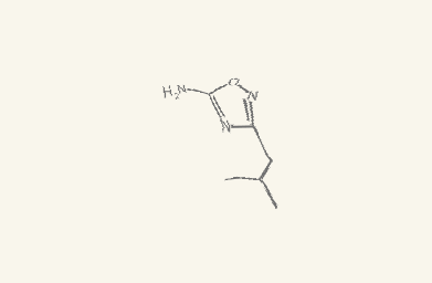 CC(C)Cc1noc(N)n1